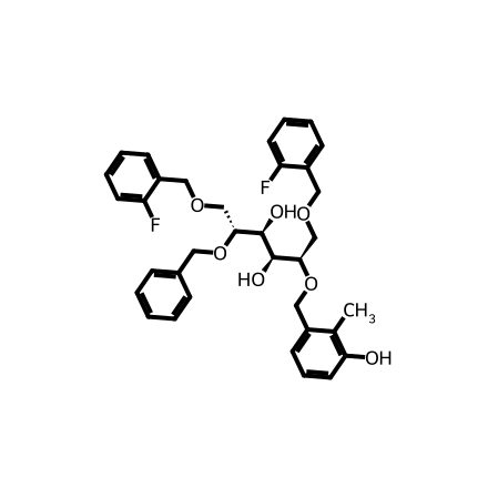 Cc1c(O)cccc1CO[C@H](COCc1ccccc1F)[C@@H](O)[C@H](O)[C@@H](COCc1ccccc1F)OCc1ccccc1